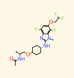 CC(=O)N[C@@H](C)CO[C@H]1CC[C@H](Nc2nc3c(F)cc(OCC(F)F)c(F)c3n2C)CC1